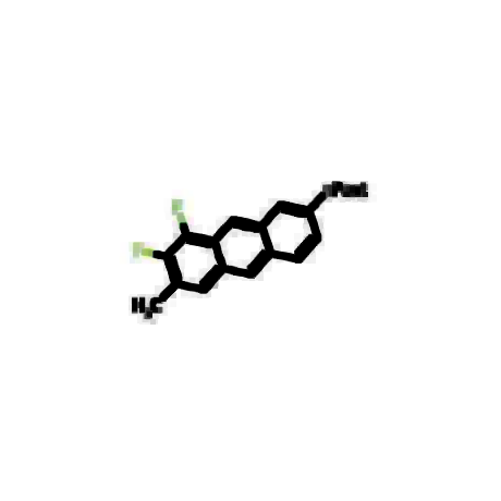 CCCCCc1ccc2cc3cc(C)c(F)c(F)c3cc2c1